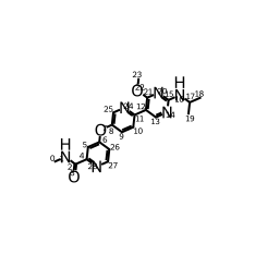 CNC(=O)c1cc(Oc2ccc(-c3cnc(NC(C)C)nc3OC)nc2)ccn1